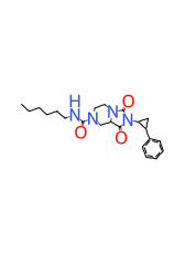 CCCCCCNC(=O)N1CCN2C(=O)N(C3CC3c3ccccc3)C(=O)C2C1